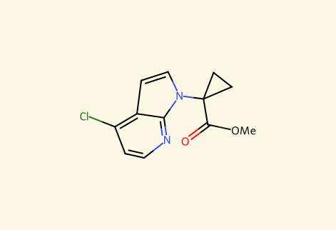 COC(=O)C1(n2ccc3c(Cl)ccnc32)CC1